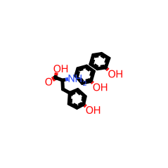 NC(Cc1ccc(O)cc1)C(=O)O.Oc1ccccc1.Oc1ccccc1